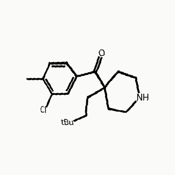 Cc1ccc(C(=O)C2(CCC(C)(C)C)CCNCC2)cc1Cl